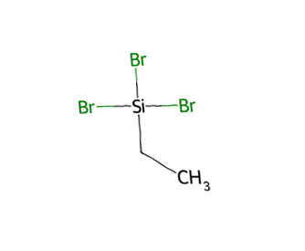 CC[Si](Br)(Br)Br